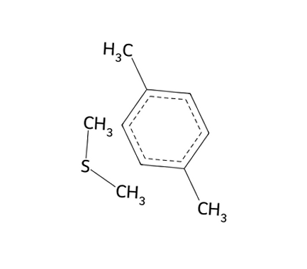 CSC.Cc1ccc(C)cc1